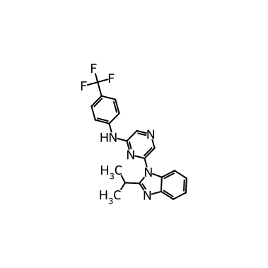 CC(C)c1nc2ccccc2n1-c1cncc(Nc2ccc(C(F)(F)F)cc2)n1